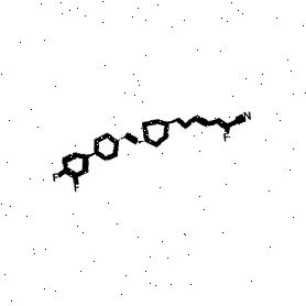 N#CC(F)=CC=CCC[C@H]1CC[C@H](C=C[C@H]2CC[C@H](c3ccc(F)c(F)c3)CC2)CC1